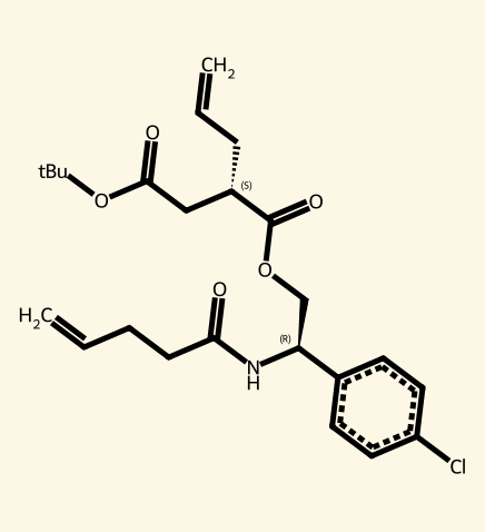 C=CCCC(=O)N[C@@H](COC(=O)[C@@H](CC=C)CC(=O)OC(C)(C)C)c1ccc(Cl)cc1